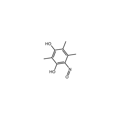 Cc1c(C)c(N=O)c(O)c(C)c1O